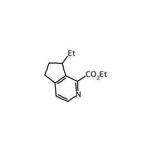 CCOC(=O)c1nccc2c1C(CC)CC2